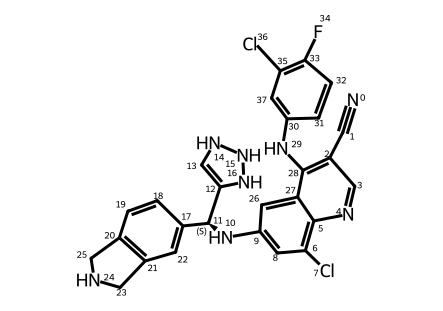 N#Cc1cnc2c(Cl)cc(N[C@H](C3=CNNN3)c3ccc4c(c3)CNC4)cc2c1Nc1ccc(F)c(Cl)c1